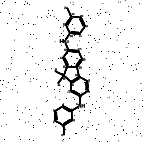 Cc1cccc(Nc2ccc3c(c2)C(C)(C)c2cc(Nc4cccc(C)c4)ccc2-3)c1